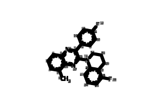 Cc1cccc2nc(-c3ccc(F)cc3)c(N3CCCc4c(F)cccc43)nc12